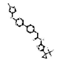 Cn1cc(Nc2ncc(-c3ccc(CC(=O)Nc4cc(C5(C(F)(F)F)CC5)on4)cc3)cn2)cn1